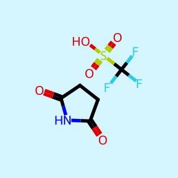 O=C1CCC(=O)N1.O=S(=O)(O)C(F)(F)F